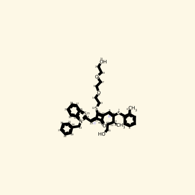 Cc1ccccc1S/C(=C/C1=C(SCCOCCOCCO)C(=C\c2sc3ccccc3[n+]2Cc2ccccc2)/C1=O)[C@@H](C)CCO